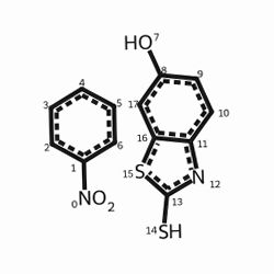 O=[N+]([O-])c1ccccc1.Oc1ccc2nc(S)sc2c1